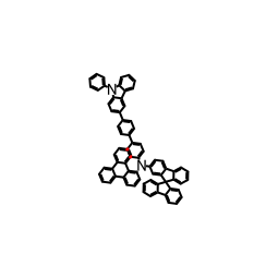 c1ccc(-n2c3ccccc3c3cc(-c4ccc(-c5ccc(N(c6ccc7c(c6)C6(c8ccccc8-c8ccccc86)c6ccccc6-7)c6cccc7c8ccccc8c8ccccc8c67)cc5)cc4)ccc32)cc1